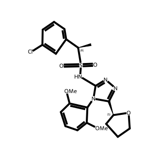 COc1cccc(OC)c1-n1c(NS(=O)(=O)[C@H](C)c2cccc(Cl)c2)nnc1[C@@H]1CCCO1